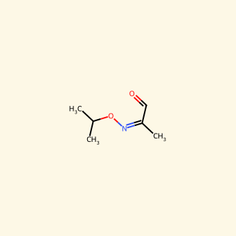 CC(C=O)=NOC(C)C